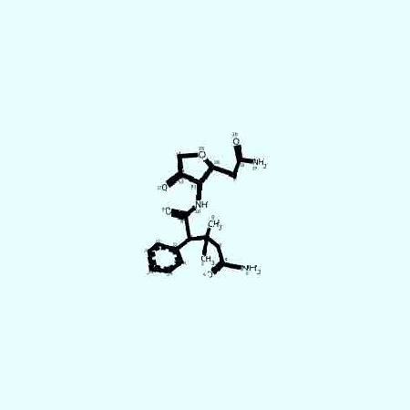 CC(C)(CC(N)=O)C(C(=O)NC1C(=O)COC1CC(N)=O)c1ccccc1